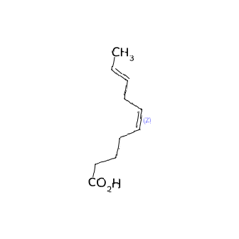 CC=CC/C=C\CCCC(=O)O